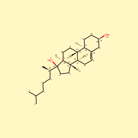 CC(C)CCC[C@@H](C)[C@@]1(O)CC[C@H]2[C@@H]3CC=C4C[C@H](O)CC[C@]4(C)[C@H]3CC[C@@]21C